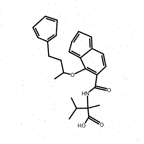 CC(CCc1ccccc1)Oc1c(C(=O)NC(C)(C(=O)O)C(C)C)ccc2ccccc12